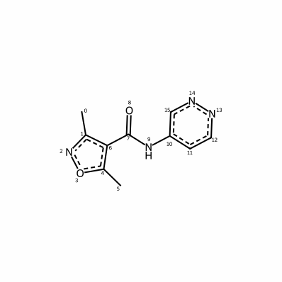 Cc1noc(C)c1C(=O)Nc1ccnnc1